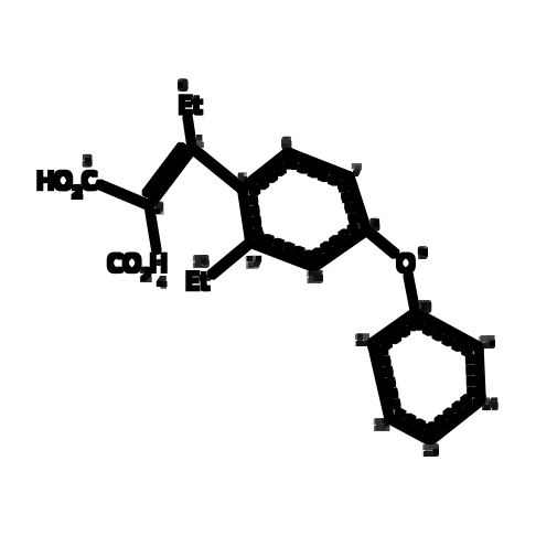 CCC(=C(C(=O)O)C(=O)O)c1ccc(Oc2ccccc2)cc1CC